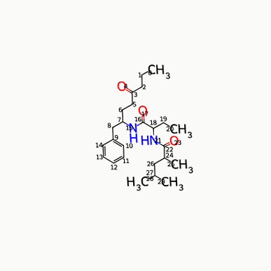 CCCC(=O)CCC(Cc1ccccc1)NC(=O)C(CC)NC(=O)C(C)CC(C)C